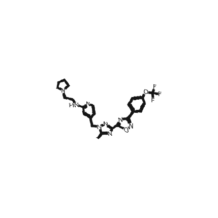 Cc1nc(-c2nc(-c3ccc(OC(F)(F)F)cc3)no2)nn1Cc1ccnc(NCCN2CCCC2)c1